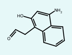 Nc1cc(O)c(CC=O)c2ccccc12